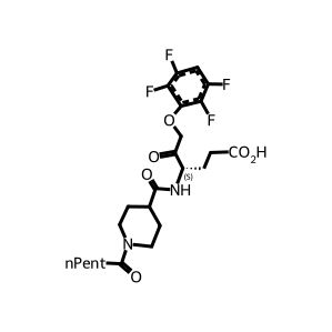 CCCCCC(=O)N1CCC(C(=O)N[C@@H](CCC(=O)O)C(=O)COc2c(F)c(F)cc(F)c2F)CC1